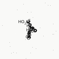 O=C(O)N[C@H](CF)C1CCC(C(=O)N2CC[C@@H](C3CCCCC3)[C@H]2C(=O)Nc2ccc3nc(N4CCOC4=O)sc3c2)CC1